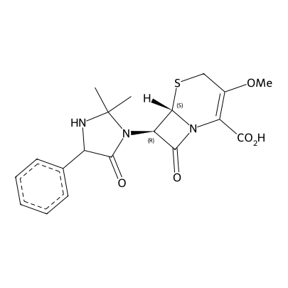 COC1=C(C(=O)O)N2C(=O)[C@@H](N3C(=O)C(c4ccccc4)NC3(C)C)[C@@H]2SC1